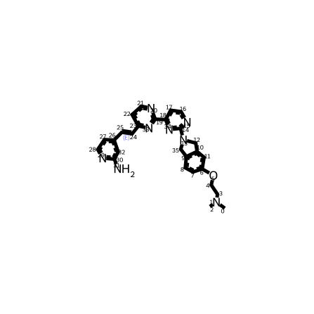 CN(C)CCOc1ccc2c(c1)CN(c1nccc(-c3nccc(/C=C/c4ccnc(N)c4)n3)n1)C2